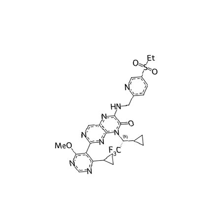 CCS(=O)(=O)c1ccc(CNc2nc3cnc(-c4c(OC)ncnc4C4CC4)nc3n([C@H](C3CC3)C(F)(F)F)c2=O)nc1